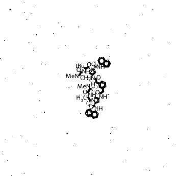 CN[C@@H](C)C(=O)N[C@@H](C)C(=O)N1C[C@@H](NC(=O)Cc2cccc(CC(=O)N[C@H]3C[C@@H](C(=O)N[C@@H]4CCCc5ccccc54)N(C(=O)[C@@H](NC(=O)[C@H](C)NC)C(C)(C)C)C3)c2)C[C@H]1C(=O)N[C@@H]1CCCc2ccccc21